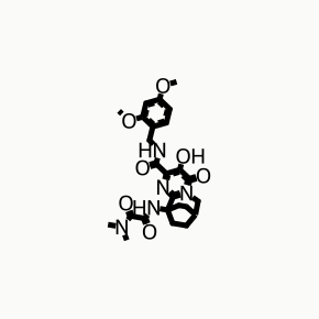 COc1ccc(CNC(=O)c2nc3n(c(=O)c2O)CC2CCC3(NC(=O)C(=O)N(C)C)CC2)c(OC)c1